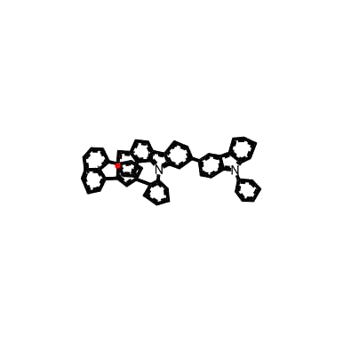 c1ccc(-n2c3ccccc3c3cc(-c4ccc5c6ccc7ccccc7c6n(-c6ccccc6-c6ccc7c(c6)-c6cccc8cccc-7c68)c5c4)ccc32)cc1